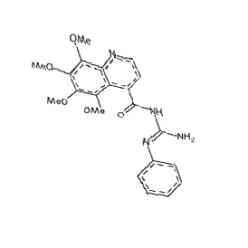 COc1c(OC)c(OC)c2c(C(=O)NC(N)=Nc3ccccc3)ccnc2c1OC